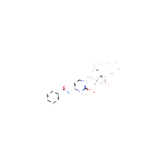 [2H]P1([3H])(I)OC[C@H]2O[C@@H](n3ccc(NC(=O)c4ccccc4)nc3=O)[C@](C)(O)[C@H]2OS1